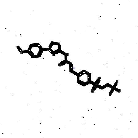 COc1ccc(C2CSC(NC(=O)/C=C/c3ccc(S(=O)(=O)CCC(F)(F)F)cc3)=N2)cc1